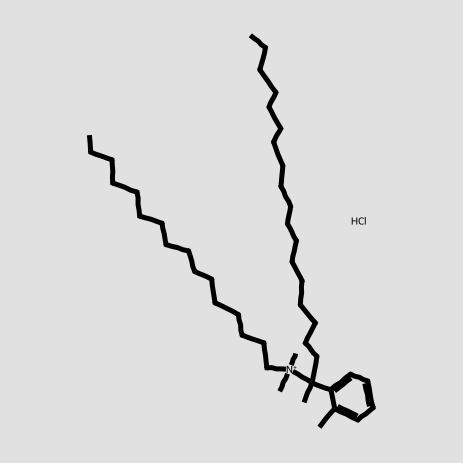 CCCCCCCCCCCCCCCCCCC(C)(c1ccccc1C)[N+](C)(C)CCCCCCCCCCCCCCCC.Cl